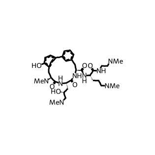 CNCCC[C@H](NC(=O)[C@@H]1Cc2cccc(c2)-c2ccc(O)c(c2)C[C@H](NC)C(=O)N[C@@H](C[C@@H](O)CNC)C(=O)N1)C(=O)NCCNC